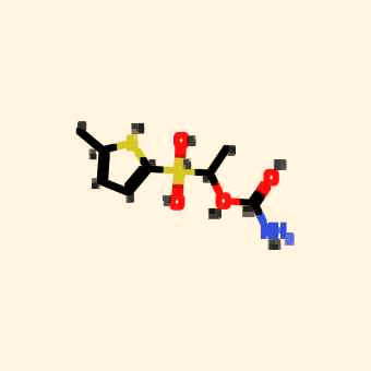 Cc1ccc(S(=O)(=O)C(C)OC(N)=O)s1